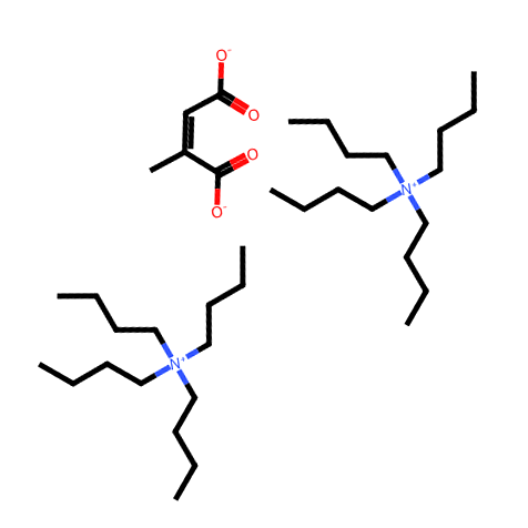 C/C(=C/C(=O)[O-])C(=O)[O-].CCCC[N+](CCCC)(CCCC)CCCC.CCCC[N+](CCCC)(CCCC)CCCC